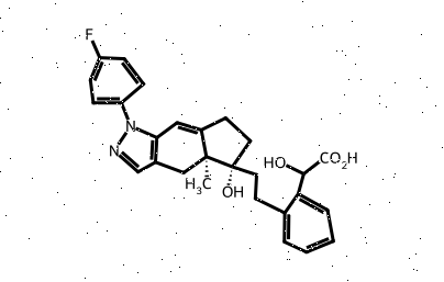 C[C@]12Cc3cnn(-c4ccc(F)cc4)c3C=C1CC[C@@]2(O)CCc1ccccc1C(O)C(=O)O